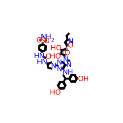 CCc1cc([C@H]2O[C@@H](n3cnc4c(NCC(c5ccc(O)cc5)c5ccc(O)cc5)nc(N5CC[C@H](NC(=O)Nc6ccc(S(N)(=O)=O)cc6)C5)nc43)[C@H](O)[C@@H]2O)on1